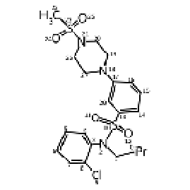 CC(C)CN(c1ccccc1Cl)S(=O)(=O)c1cccc(N2CCN(S(C)(=O)=O)CC2)c1